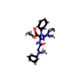 CCCCOC(=O)c1c(NC(=O)CN(C)c2ccccc2)nc(N(C)C)n1-c1ccccc1